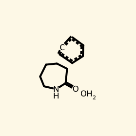 O.O=C1CCCCCN1.c1ccccc1